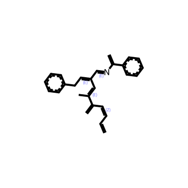 C=C/C=C\C(=C)/C(C)=C/C(/C=N/C(=C)c1ccccc1)=C\Cc1ccccc1